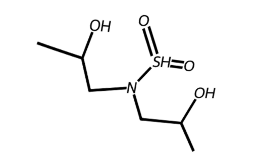 CC(O)CN(CC(C)O)[SH](=O)=O